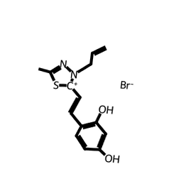 C=CCn1nc(C)s[c+]1C=Cc1ccc(O)cc1O.[Br-]